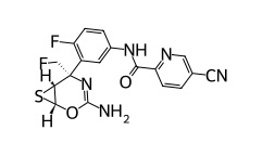 N#Cc1ccc(C(=O)Nc2ccc(F)c([C@@]3(CF)N=C(N)O[C@@H]4S[C@@H]43)c2)nc1